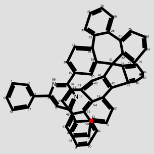 c1ccc(-c2cc(-c3ccccc3)nc(-c3ccc4c(c3)C3(c5ccccc5-c5ccccc5-4)c4ccccc4-c4c3cc3ccc5cccc6ccc4c3c56)n2)cc1